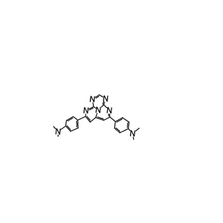 CN(C)c1ccc(C2=CC3=CC(c4ccc(N(C)C)cc4)=NC4=NC=NC(=N2)N34)cc1